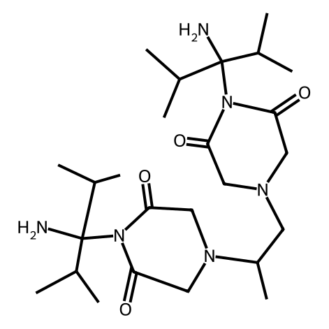 CC(CN1CC(=O)N(C(N)(C(C)C)C(C)C)C(=O)C1)N1CC(=O)N(C(N)(C(C)C)C(C)C)C(=O)C1